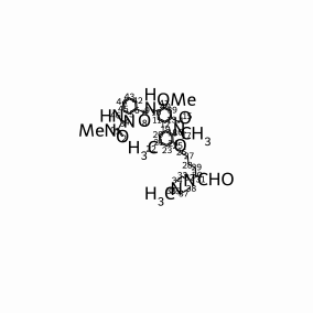 CNC(=O)c1nc2c(C(=O)Nc3ccc(C(=O)N(C)c4ccc(C)cc4OCCCCC(C=O)N4CCN(C)CC4)cc3OC)cccc2[nH]1